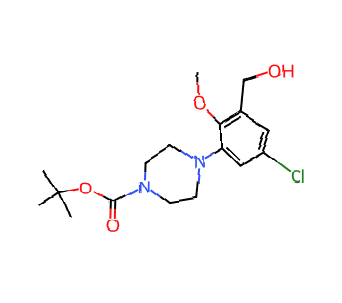 COc1c(CO)cc(Cl)cc1N1CCN(C(=O)OC(C)(C)C)CC1